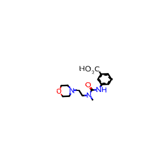 CN(CCN1CCOCC1)C(=O)Nc1cccc(C(=O)O)c1